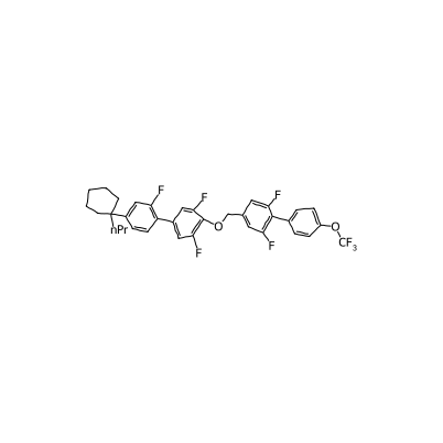 CCCC1(c2ccc(-c3cc(F)c(OCc4cc(F)c(-c5ccc(OC(F)(F)F)cc5)c(F)c4)c(F)c3)c(F)c2)CCCCC1